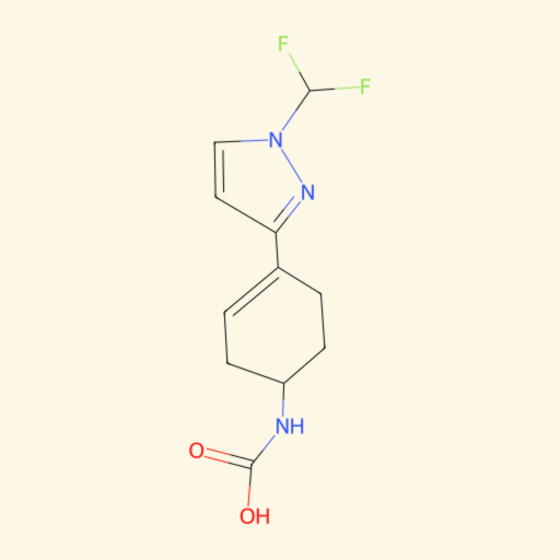 O=C(O)NC1CC=C(c2ccn(C(F)F)n2)CC1